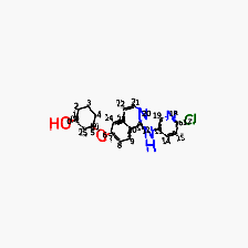 O[C@H]1CCC[C@@H](Oc2ccc3c(Nc4ccc(Cl)nc4)nccc3c2)C1